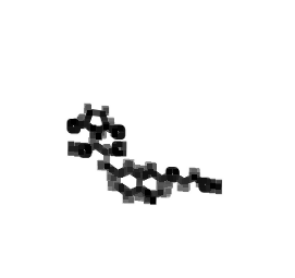 O=C1CCC(=O)N1C(O)C(Cl)Cc1ccc2ncc(OCCO)cc2c1